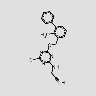 C#CCNc1nc(Cl)nc(OCc2cccc(-c3ccccc3)c2C)n1